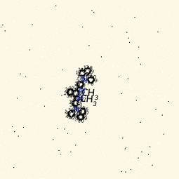 Cn1c2cc(N(C3=CC=CCC3)c3cccc4ccccc34)ccc2c2c3ccccc3c3c4ccc(N(c5ccccc5)c5cccc6ccccc56)cc4n(C)c3c21